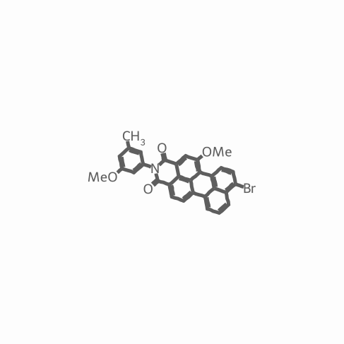 COc1cc(C)cc(N2C(=O)c3ccc4c5cccc6c(Br)ccc(c7c(OC)cc(c3c47)C2=O)c65)c1